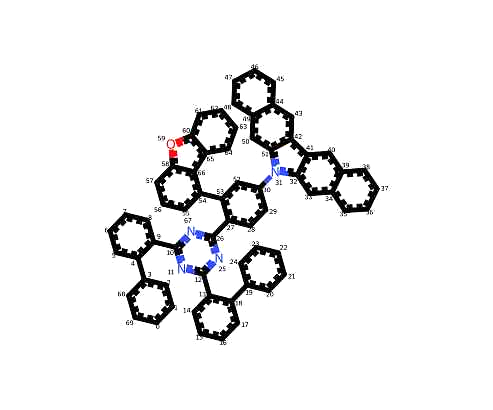 c1ccc(-c2ccccc2-c2nc(-c3ccccc3-c3ccccc3)nc(-c3ccc(-n4c5cc6ccccc6cc5c5cc6ccccc6cc54)cc3-c3cccc4oc5ccccc5c34)n2)cc1